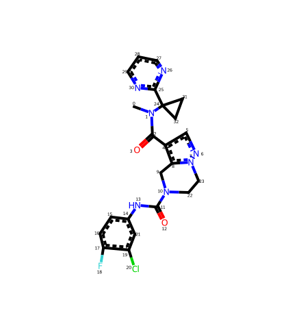 CN(C(=O)c1cnn2c1CN(C(=O)Nc1ccc(F)c(Cl)c1)CC2)C1(c2ncccn2)CC1